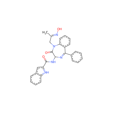 CC(CN1C(=O)C(NC(=O)c2cc3ccccc3[nH]2)N=C(c2ccccc2)c2ccccc21)=NO